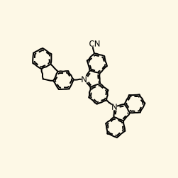 N#Cc1ccc2c3cc(-n4c5ccccc5c5ccccc54)ccc3n(-c3ccc4c(c3)-c3ccccc3C4)c2c1